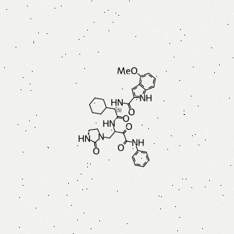 COc1cccc2[nH]c(C(=O)N[C@H](C(=O)NC(CN3CCNC3=O)C(=O)C(=O)Nc3ccccc3)C3CCCCC3)cc12